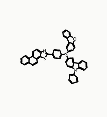 c1ccc(-n2c3ccccc3c3cc(N(c4ccc(-c5nc6ccc7c8ccccc8ccc7c6s5)cc4)c4ccc5oc6ccccc6c5c4)ccc32)cc1